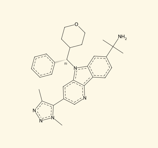 Cc1nnn(C)c1-c1cnc2c3ccc(C(C)(C)N)cc3n([C@H](c3ccccc3)C3CCOCC3)c2c1